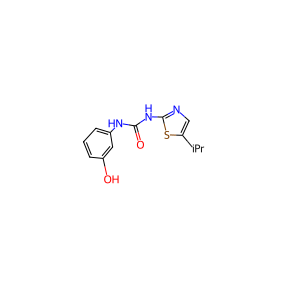 CC(C)c1cnc(NC(=O)Nc2cccc(O)c2)s1